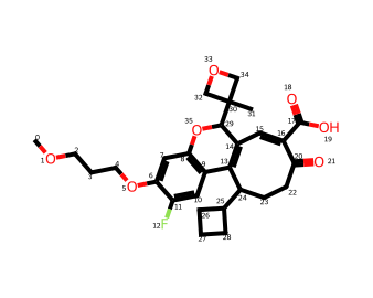 COCCCOc1cc2c(cc1F)C1=C(/C=C(/C(=O)O)C(=O)CCC1C1CCC1)C(C1(C)COC1)O2